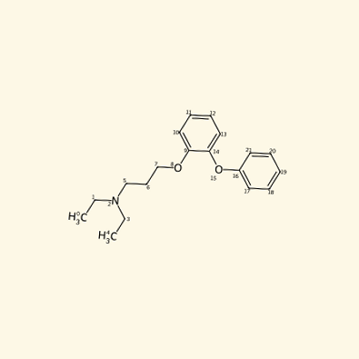 CCN(CC)CCCOc1ccccc1Oc1ccccc1